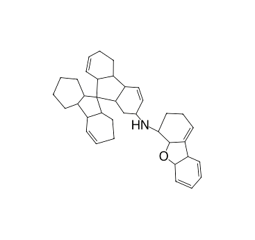 C1=CC2OC3C(=CCCC3NC3C=CC4C5CCC=CC5C5(C4C3)C3CCC=CC3C3CCCCC35)C2C=C1